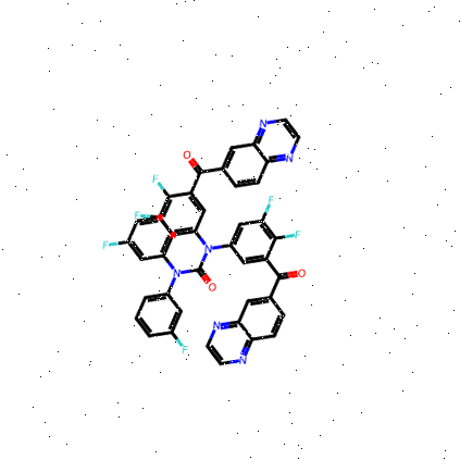 O=C(c1ccc2nccnc2c1)c1cc(N(C(=O)N(c2cccc(F)c2)c2cccc(F)c2)c2cc(F)c(F)c(C(=O)c3ccc4nccnc4c3)c2)cc(F)c1F